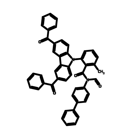 Cc1cccc(-n2c3ccc(C(=O)c4ccccc4)cc3c3cc(C(=O)c4ccccc4)ccc32)c1C(=O)N(C=O)c1ccc(-c2ccccc2)cc1